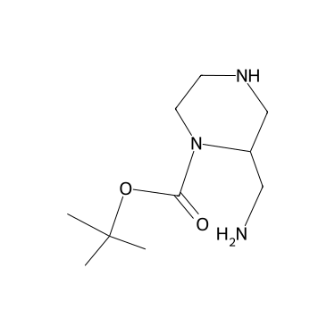 CC(C)(C)OC(=O)N1CCNCC1CN